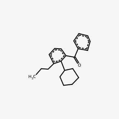 CCCc1cccc(C(=O)c2ccccc2)c1C1CCCCC1